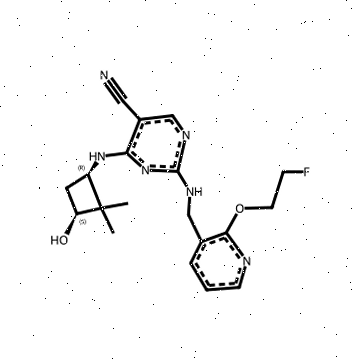 CC1(C)[C@@H](O)C[C@H]1Nc1nc(NCc2cccnc2OCCF)ncc1C#N